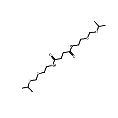 CC(C)OCOCCNC(=O)CCC(=O)NCCOCOC(C)C